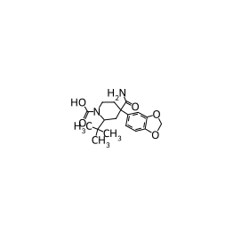 CC(C)(C)C1CC(C(N)=O)(c2ccc3c(c2)OCO3)CCN1C(=O)O